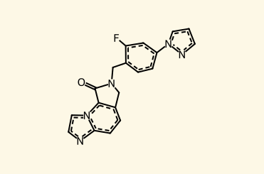 O=C1c2c(ccc3nccn23)CN1Cc1ccc(-n2cccn2)cc1F